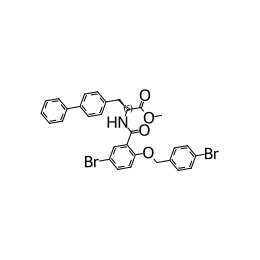 COC(=O)[C@H](Cc1ccc(-c2ccccc2)cc1)NC(=O)c1cc(Br)ccc1OCc1ccc(Br)cc1